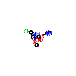 COc1cc(C2c3[nH]c4ccc(Cl)cc4c3CCN2C(=O)Oc2ccccc2)ccc1OCCCn1ccnn1